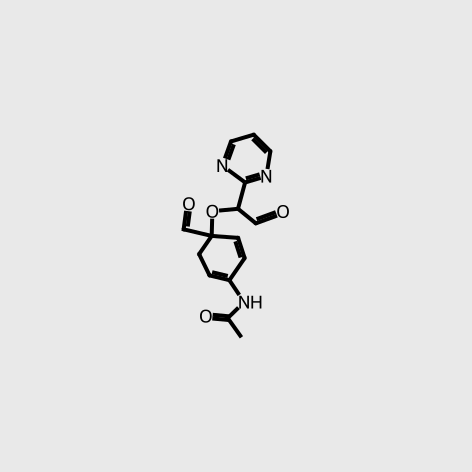 CC(=O)NC1=CCC(C=O)(OC(C=O)c2ncccn2)C=C1